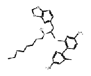 CCCCCCCC[S+]([O-])C(C)Cc1ccc2c(c1)OCO2.Cc1cc(N)ccc1-c1ccc(N)cc1C